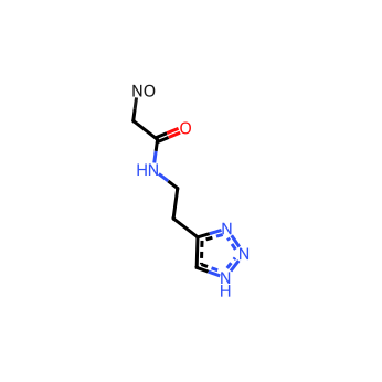 O=NCC(=O)NCCc1c[nH]nn1